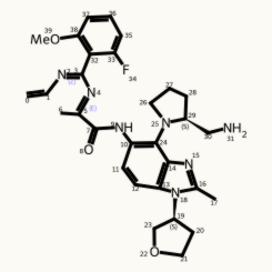 C=C/N=C(\N=C(/C)C(=O)Nc1ccc2c(nc(C)n2[C@H]2CCOC2)c1N1CCC[C@H]1CN)c1c(F)cccc1OC